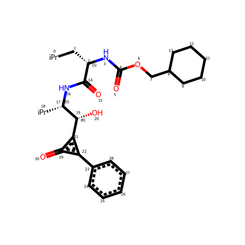 CC(C)C[C@H](NC(=O)OCC1CCCCC1)C(=O)N[C@@H](C(C)C)[C@H](O)c1c(-c2ccccc2)c1=O